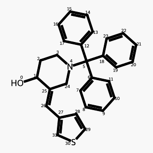 OC1CCN(C(c2ccccc2)(c2ccccc2)c2ccccc2)C/C1=C\c1ccsc1